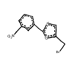 O=[N+]([O-])c1cccc(-c2ncc(CBr)o2)c1